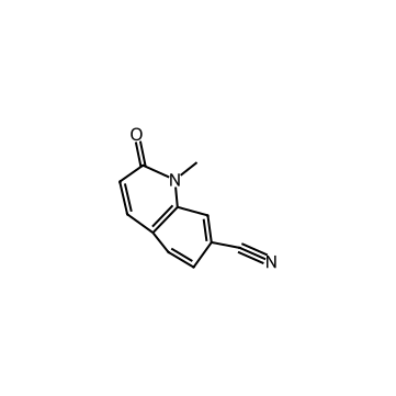 Cn1c(=O)ccc2ccc(C#N)cc21